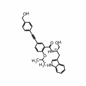 CC(C)Oc1ccc(C#Cc2ccc(CO)cc2)cc1C(=O)N[C@@H](CO)Cc1c[nH]c2ccccc12